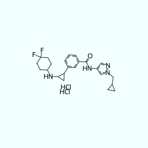 Cl.Cl.O=C(Nc1cnn(CC2CC2)c1)c1cccc(C2CC2NC2CCC(F)(F)CC2)c1